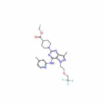 CCOC(=O)C1CCN(c2nc(Nc3cc(C)ccn3)c3c(n2)c(C)nn3CCOCC(F)(F)F)CC1